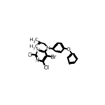 C=C(C)CN(c1ccc(Oc2ccccc2)cc1)c1nc(Cl)nc(Cl)c1Br